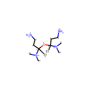 CCC(CCN)(OC(CC)(CCN)N(C)C)N(C)C